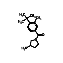 Cc1cc(C(=O)N2CCC(N)C2)ccc1C(C)(C)C